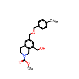 COc1ccc(COCc2cc(CO)c3c(c2)CCN(C(=O)OC(C)(C)C)C3)cc1